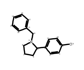 Clc1ccc(C2CCCN2Cc2ccccc2)cc1